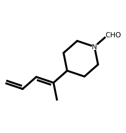 C=C/C=C(\C)C1CCN(C=O)CC1